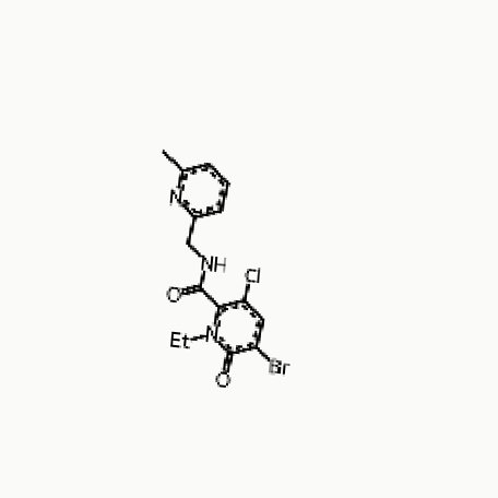 CCn1c(C(=O)NCc2cccc(C)n2)c(Cl)cc(Br)c1=O